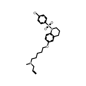 C=CCN(C)CCCCCOc1ccc2c(c1)CCCN2S(=O)(=O)c1ccc(Cl)cc1